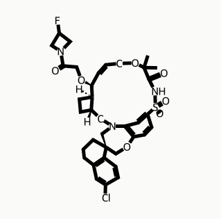 CC1(C)OCC=C[C@H](OCC(=O)N2CC(F)C2)[C@@H]2CC[C@H]2CN2C[C@@]3(CCCc4cc(Cl)ccc43)COc3ccc(cc32)S(=O)(=O)NC1=O